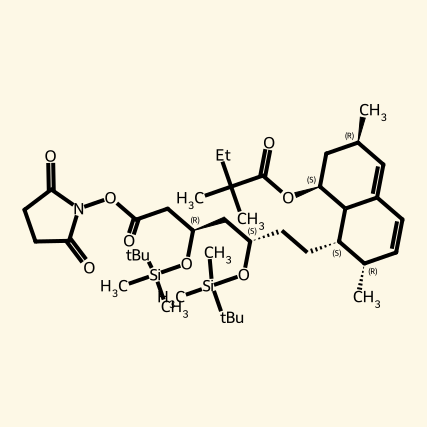 CCC(C)(C)C(=O)O[C@H]1C[C@@H](C)C=C2C=C[C@H](C)[C@H](CC[C@@H](C[C@H](CC(=O)ON3C(=O)CCC3=O)O[Si](C)(C)C(C)(C)C)O[Si](C)(C)C(C)(C)C)C21